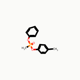 Cc1ccc(OP(C)(=O)Oc2ccccc2)cc1